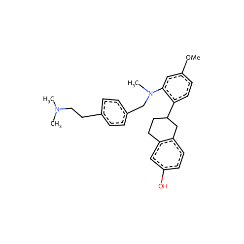 COc1ccc(C2CCc3cc(O)ccc3C2)c(N(C)Cc2ccc(CCN(C)C)cc2)c1